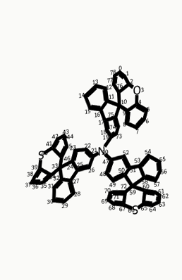 C1=CC2Oc3ccccc3C3(c4ccccc4-c4cc(N(c5ccc6c(c5)-c5ccccc5C65c6ccccc6Sc6ccccc65)c5ccc6c(c5)-c5ccccc5C65c6ccccc6Sc6ccccc65)ccc43)C2C=C1